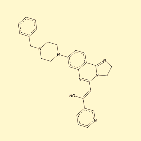 O/C(=C\C1=Nc2cc(N3CCN(Cc4ccccc4)CC3)ccc2C2=NCCN12)c1cccnc1